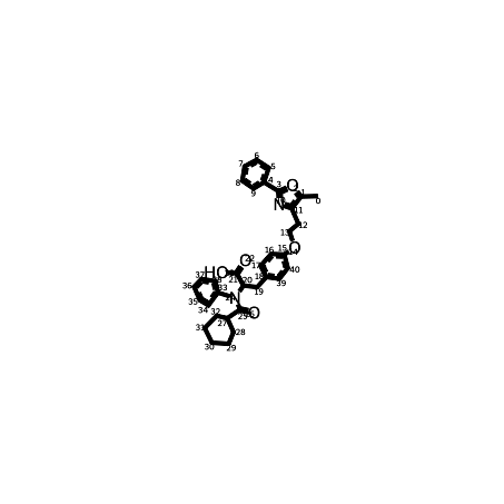 Cc1oc(-c2ccccc2)nc1CCOc1ccc(CC(C(=O)O)N(C(=O)C2CCCCC2)c2ccccc2)cc1